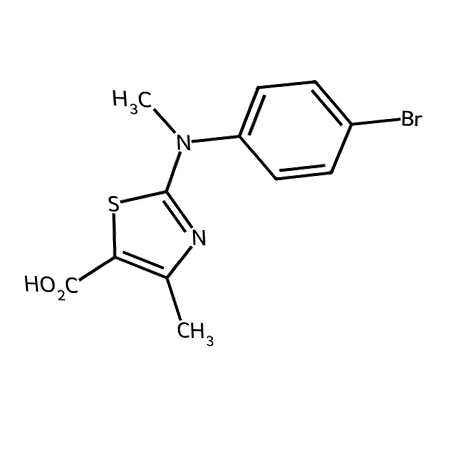 Cc1nc(N(C)c2ccc(Br)cc2)sc1C(=O)O